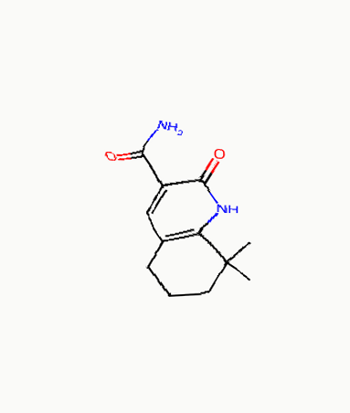 CC1(C)CCCc2cc(C(N)=O)c(=O)[nH]c21